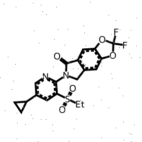 CCS(=O)(=O)c1cc(C2CC2)cnc1N1Cc2cc3c(cc2C1=O)OC(F)(F)O3